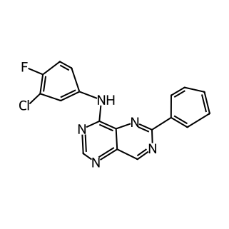 Fc1ccc(Nc2ncnc3cnc(-c4ccccc4)nc23)cc1Cl